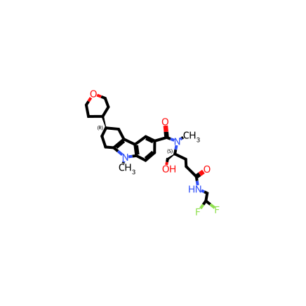 CN(C(=O)c1ccc2c(c1)c1c(n2C)CC[C@@H](C2CCOCC2)C1)[C@H](CO)CCC(=O)NCC(F)F